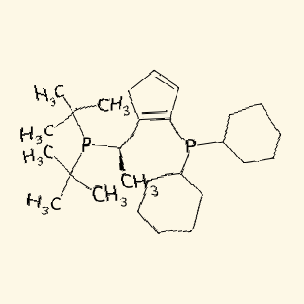 C[C@H](C1=C(P(C2CCCCC2)C2CCCCC2)C=CC1)P(C(C)(C)C)C(C)(C)C